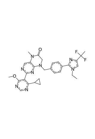 CCn1cc(C(C)(F)F)nc1-c1ccc(CN2CC(=O)N(C)c3cnc(-c4c(OC)ncnc4C4CC4)nc32)cc1